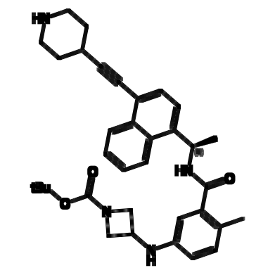 Cc1ccc(NC2CN(C(=O)OC(C)(C)C)C2)cc1C(=O)N[C@H](C)c1ccc(C#CC2CCNCC2)c2ccccc12